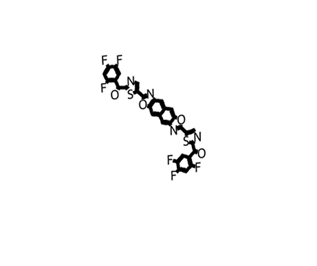 O=C(c1ncc(-c2nc3cc4cc5oc(-c6cnc(C(=O)c7cc(F)c(F)cc7F)s6)nc5cc4cc3o2)s1)c1cc(F)c(F)cc1F